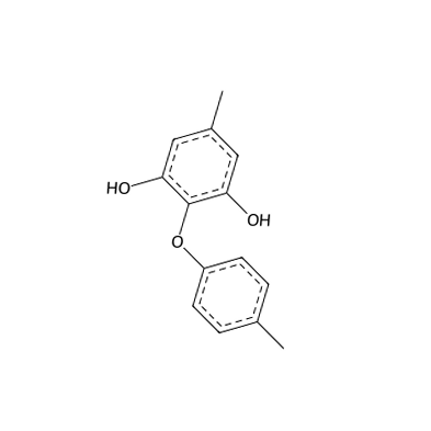 Cc1ccc(Oc2c(O)cc(C)cc2O)cc1